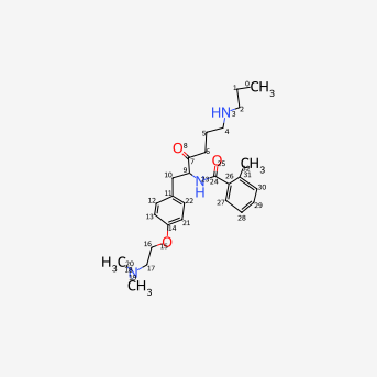 CCCNCCCC(=O)C(Cc1ccc(OCCN(C)C)cc1)NC(=O)c1ccccc1C